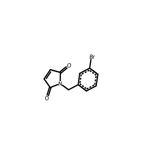 O=C1C=CC(=O)N1Cc1cccc(Br)c1